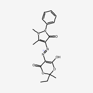 CCC1(C)OC(=O)C(/N=N/c2c(C)n(C)n(-c3ccccc3)c2=O)=C(O)O1